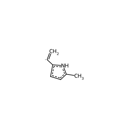 C=[C]c1ccc(C)[nH]1